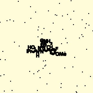 COc1ccc([C@H](C)Cc2nc(CS(N)(=O)=O)nc(N[C@@H](CO)CC(C)C)n2)cc1F